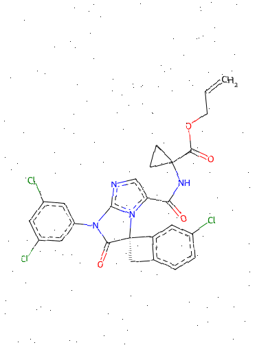 C=CCOC(=O)C1(NC(=O)c2cnc3n2[C@]2(Cc4ccc(Cl)cc42)C(=O)N3c2cc(Cl)cc(Cl)c2)CC1